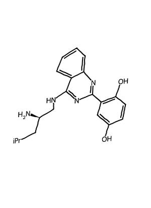 CC(C)C[C@@H](N)CNc1nc(-c2cc(O)ccc2O)nc2ccccc12